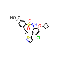 O=C(O)c1ccc(C2CC2)c(S(=O)(=O)Nc2cc(-c3ccns3)c(Cl)cc2OC2CCC2)c1